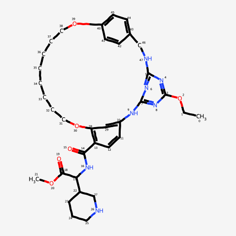 CCOc1nc2nc(n1)Nc1ccc(C(=O)NC(C(=O)OC)C3CCCNC3)c(c1)OCCCCCCCCOc1ccc(cc1)CN2